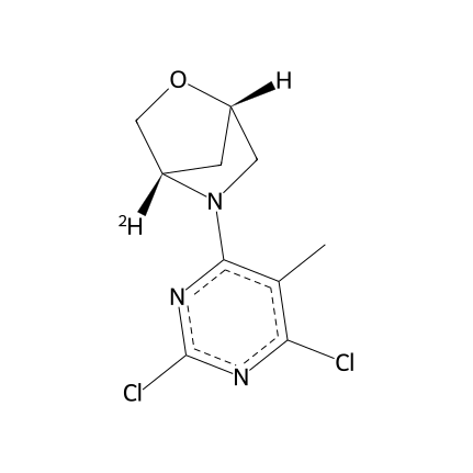 [2H][C@]12CO[C@H](CN1c1nc(Cl)nc(Cl)c1C)C2